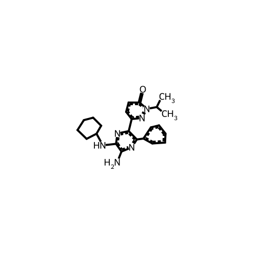 CC(C)n1nc(-c2nc(NC3CCCCC3)c(N)nc2-c2ccccc2)ccc1=O